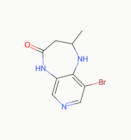 CC1CC(=O)Nc2cncc(Br)c2N1